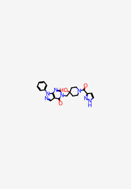 O=C(c1cc[nH]n1)N1CCC(O)(Cn2cnc3c(cnn3-c3ccccc3)c2=O)CC1